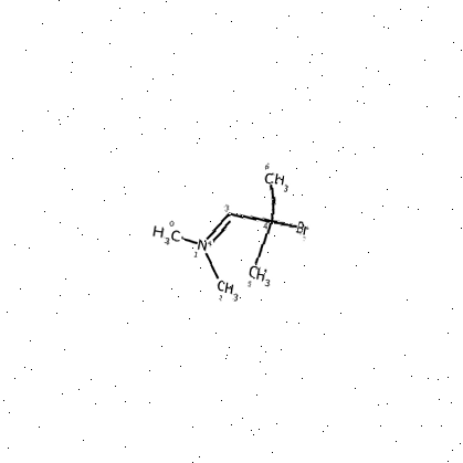 C[N+](C)=CC(C)(C)Br